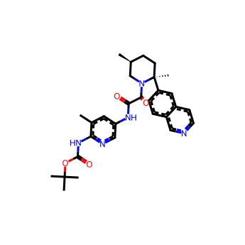 Cc1cc(NC(=O)C(=O)N2C[C@@H](C)CC[C@@]2(C)c2ccc3cnccc3c2)cnc1NC(=O)OC(C)(C)C